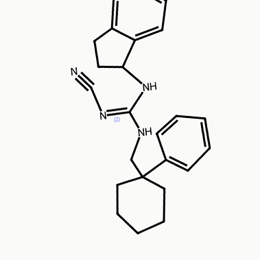 N#C/N=C(/NCC1(c2ccccc2)CCCCC1)NC1CCc2ccccc21